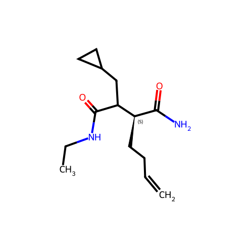 C=CCC[C@H](C(N)=O)C(CC1CC1)C(=O)NCC